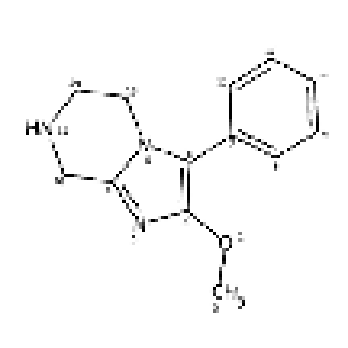 COc1nc2n(c1-c1ccccc1)CCNC2